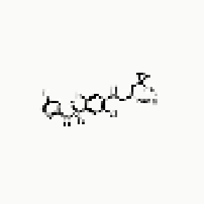 CN[C@H](CNc1cc(F)c(S(=O)(=O)Nc2ncc(F)s2)cc1Cl)CC1(C(F)(F)F)CC1